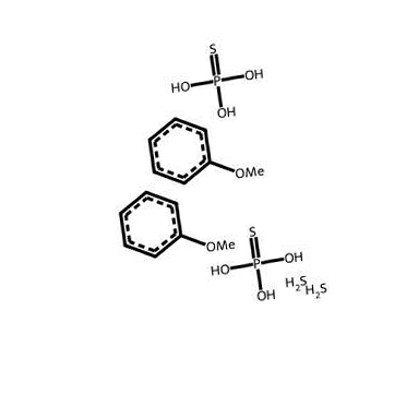 COc1ccccc1.COc1ccccc1.OP(O)(O)=S.OP(O)(O)=S.S.S